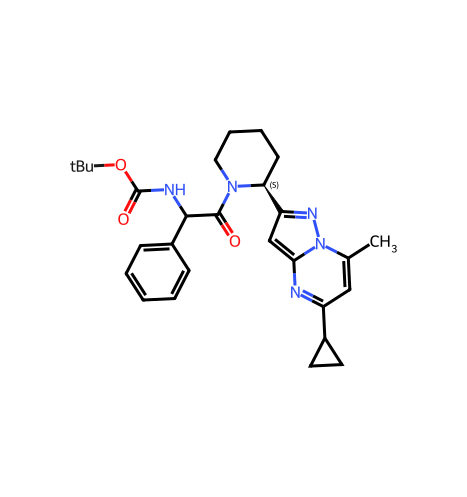 Cc1cc(C2CC2)nc2cc([C@@H]3CCCCN3C(=O)C(NC(=O)OC(C)(C)C)c3ccccc3)nn12